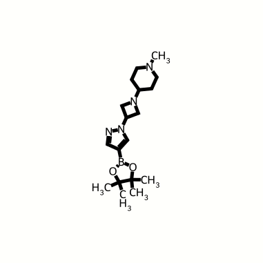 CN1CCC(N2CC(n3cc(B4OC(C)(C)C(C)(C)O4)cn3)C2)CC1